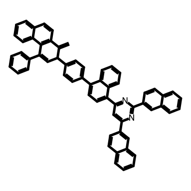 C=C1c2ccc3ccccc3c2C(c2ccccc2)=CC1c1ccc(-c2ccc(-c3cc(-c4ccc5ccccc5c4)nc(-c4ccc5ccccc5c4)n3)c3ccccc23)cc1